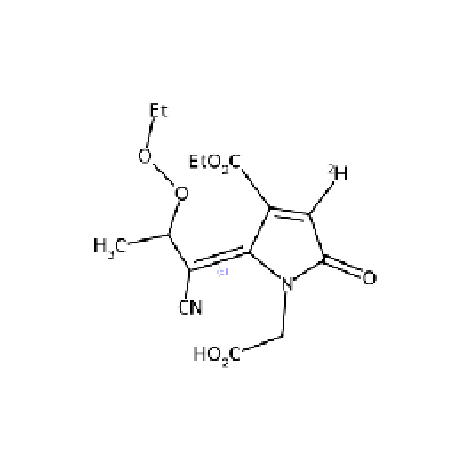 [2H]C1=C(C(=O)OCC)/C(=C(/C#N)C(C)OOCC)N(CC(=O)O)C1=O